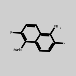 CNc1c(F)ccc2c(N)c(F)ccc12